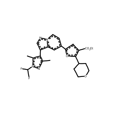 CCOC(=O)c1cc(-c2ccn3ncc(-c4c(C)nn(C(F)F)c4C)c3c2)oc1C1CCOCC1